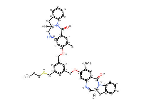 COc1cc2c(cc1OCc1cc(COc3cc4c(cc3C)C(=O)N3c5ccccc5C[C@H]3CN4)cc(CSCCOCC(C)C)c1)N=C[C@@H]1Cc3ccccc3N1C2=O